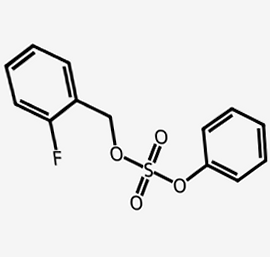 O=S(=O)(OCc1ccccc1F)Oc1ccccc1